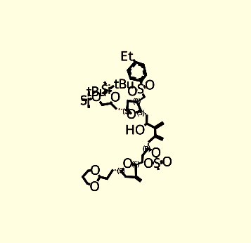 C=C(C[C@@H](CC[C@@H]1O[C@@H](CCC2OCCCO2)CC1=C)OS(C)(=O)=O)C(=C)C(O)C[C@@H]1O[C@H](CC(CO[Si](C)(C)C(C)(C)C)O[Si](C)(C)C(C)(C)C)C[C@H]1CS(=O)(=O)c1ccc(CC)cc1